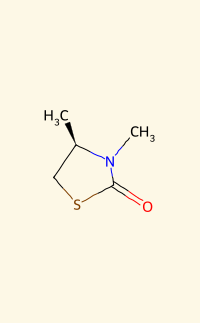 C[C@@H]1CSC(=O)N1C